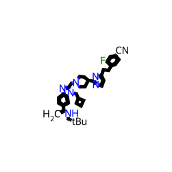 C=C(NCC(C)(C)C)c1ccc2nc(CN3CCC(c4nccc(CCc5ccc(C#N)cc5F)n4)CC3)n(CC3CCC3)c2c1